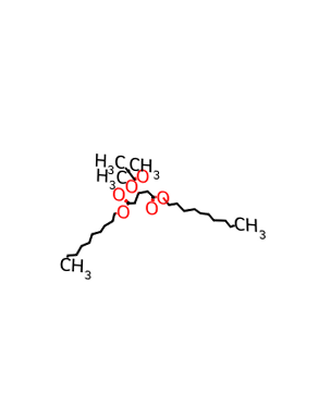 CCCCCCCCCCOC(=O)CC(CC(=O)OCCCCCCCCCC)OC(=O)C(C)(C)C